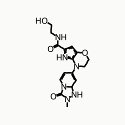 CN1NC2C=C(N3CCOc4cc(C(=O)NCCO)[nH]c43)C=CN2C1=O